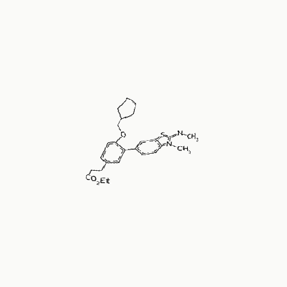 CCOC(=O)CCc1ccc(OCC2CCCC2)c(-c2ccc3c(c2)sc(=NC)n3C)c1